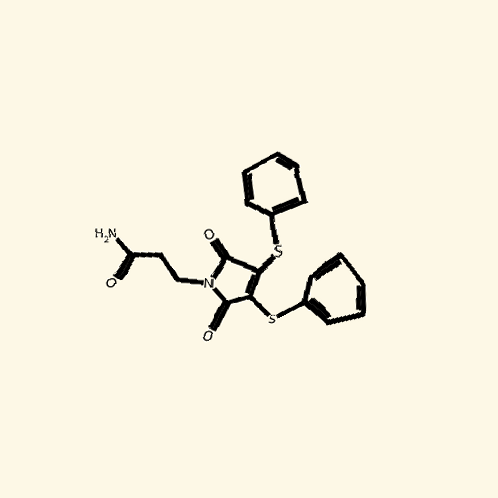 NC(=O)CCN1C(=O)C(Sc2ccccc2)=C(Sc2ccccc2)C1=O